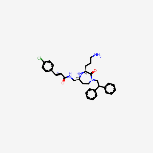 NCCC[C@@H]1N[C@H](CNC(=O)/C=C/c2ccc(Cl)cc2)CCN(CC(c2ccccc2)c2ccccc2)C1=O